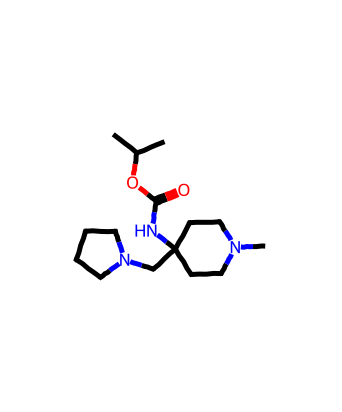 CC(C)OC(=O)NC1(CN2CCCC2)CCN(C)CC1